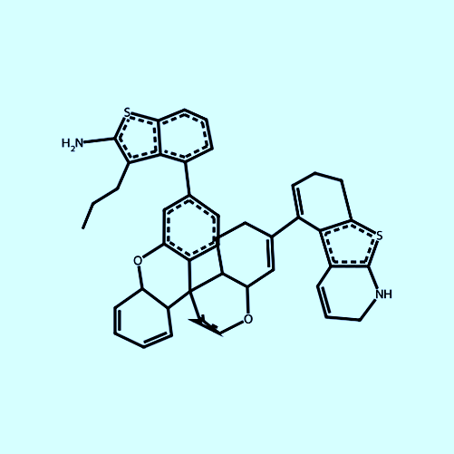 CCCc1c(N)sc2cccc(-c3ccc4c(c3)OC3C=CC=CC3C43C4=CC=CCC4OC4C=C(C5=CCCc6sc7c(c65)C=CCN7)CCC43)c12